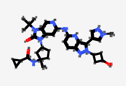 [2H]C([2H])([2H])n1c(=O)n([C@@H]2CC[C@](C)(NC(=O)C3CC3)C2)c2cc(Nc3ccc4nn(C5CC(O)C5)c(-c5cnn(C(F)(F)F)c5)c4n3)ncc21